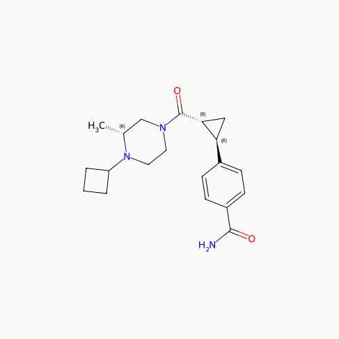 C[C@@H]1CN(C(=O)[C@@H]2C[C@H]2c2ccc(C(N)=O)cc2)CCN1C1CCC1